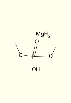 COP(=O)(O)OC.[MgH2]